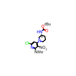 CNc1nc(Cl)cc(N2CCC[C@@H](NC(=O)OC(C)(C)C)C2)c1[N+](=O)[O-]